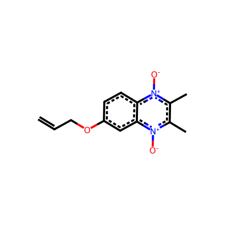 C=CCOc1ccc2c(c1)[n+]([O-])c(C)c(C)[n+]2[O-]